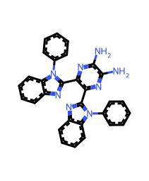 Nc1nc(-c2nc3ccccc3n2-c2ccccc2)c(-c2nc3ccccc3n2-c2ccccc2)nc1N